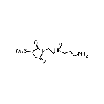 CSC1CC(=O)N(CC[PH](=O)CCCN)C1=O